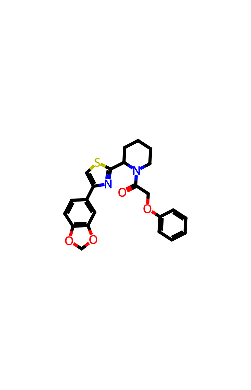 O=C(COc1ccccc1)N1CCCCC1c1nc(-c2ccc3c(c2)OCO3)cs1